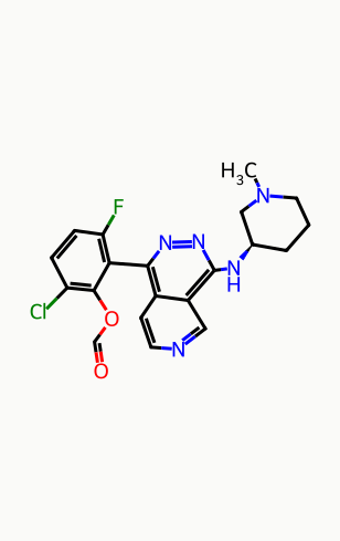 CN1CCC[C@@H](Nc2nnc(-c3c(F)ccc(Cl)c3OC=O)c3ccncc23)C1